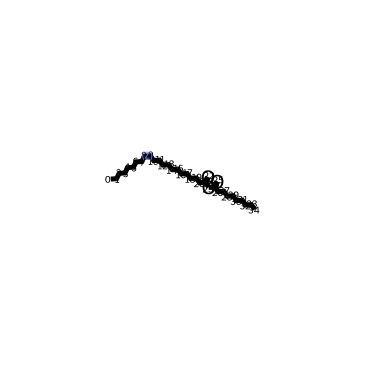 CCCCCCCC/C=C\CCCCCCCCCCCC(=O)OC(=O)CCCCCCCCC